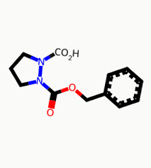 O=C(O)N1CCCN1C(=O)OCc1ccccc1